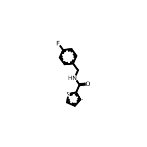 O=C(NCc1ccc(F)cc1)c1[c]ccs1